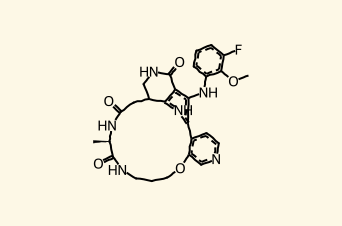 COc1c(F)cccc1Nc1c2[nH]c3c1C(=O)NCC3CC(=O)N[C@H](C)C(=O)NCCCOc1cnccc1-2